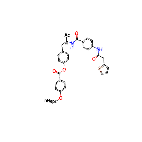 CCCCCCCOc1ccc(C(=O)Oc2ccc(C[C@H](NC(=O)c3ccc(NC(=O)Cc4cccs4)cc3)C(C)=O)cc2)cc1